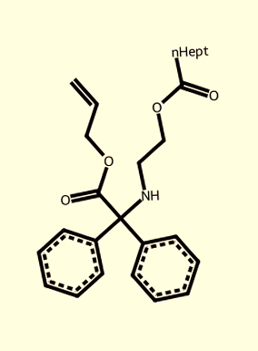 C=CCOC(=O)C(NCCOC(=O)CCCCCCC)(c1ccccc1)c1ccccc1